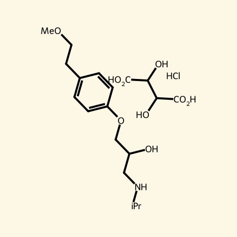 COCCc1ccc(OCC(O)CNC(C)C)cc1.Cl.O=C(O)C(O)C(O)C(=O)O